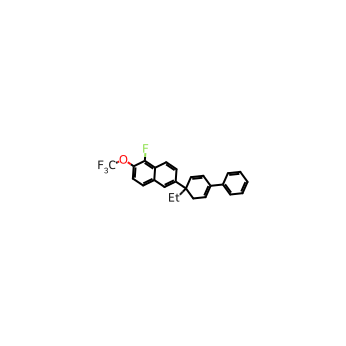 CCC1(c2ccc3c(F)c(OC(F)(F)F)ccc3c2)C=CC(c2ccccc2)=CC1